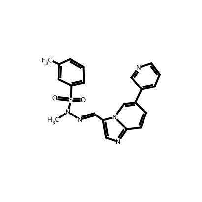 CN(N=Cc1cnc2ccc(-c3cccnc3)cn12)S(=O)(=O)c1cccc(C(F)(F)F)c1